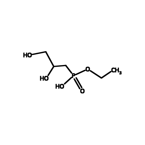 CCOP(=O)(O)CC(O)CO